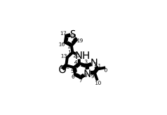 Cc1nc2c3c(ccn2c1C)C(=O)CC(c1ccsc1)N3